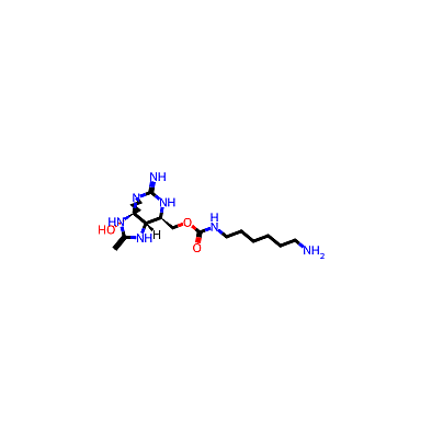 C=C1N[C@H]2[C@H](COC(=O)NCCCCCCN)NC(=N)N3CC[C@H](O)[C@]23N1